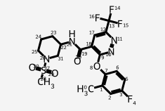 Cc1cc(F)ccc1Oc1nnc(C(F)(F)F)cc1C(=O)NC1CCCN(S(C)(=O)=O)C1